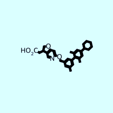 Cc1cc(COc2cc3c(cn2)C(CC(=O)O)CO3)cc(-c2c(C)cc(C3CCCCC3)cc2C)c1